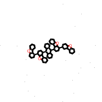 c1ccc2c(c1)oc1ccc(-c3ccc(-c4c5ccccc5c(-c5ccc(-c6cccc7oc8ccccc8c67)c6oc7ccccc7c56)c5ccccc45)c4c3oc3ccccc34)cc12